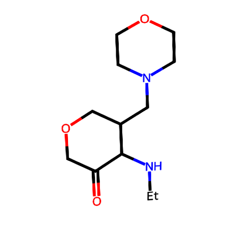 CCNC1C(=O)COCC1CN1CCOCC1